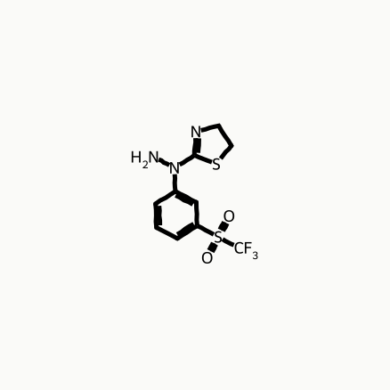 NN(C1=NCCS1)c1cccc(S(=O)(=O)C(F)(F)F)c1